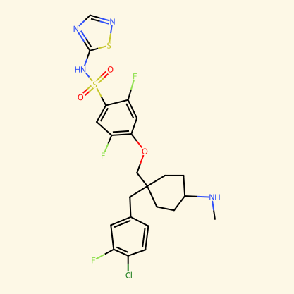 CNC1CCC(COc2cc(F)c(S(=O)(=O)Nc3ncns3)cc2F)(Cc2ccc(Cl)c(F)c2)CC1